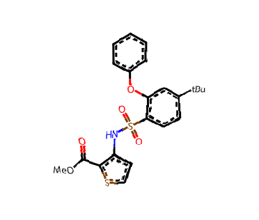 COC(=O)c1sccc1NS(=O)(=O)c1ccc(C(C)(C)C)cc1Oc1ccccc1